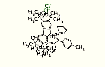 Cc1ccc([C](c2ccc(C)cc2)=[Hf+2]([C]2=CC=CC2)[CH]2c3cc(C(C)(C)C)c(C(C)(C)C)cc3-c3cc(C(C)(C)C)c(C(C)(C)C)cc32)cc1.[Cl-].[Cl-]